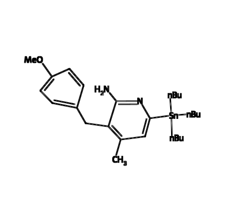 CCC[CH2][Sn]([CH2]CCC)([CH2]CCC)[c]1cc(C)c(Cc2ccc(OC)cc2)c(N)n1